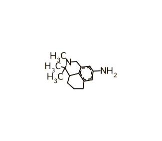 CN1Cc2cc(N)cc3c2C(CCC3)C1(C)C